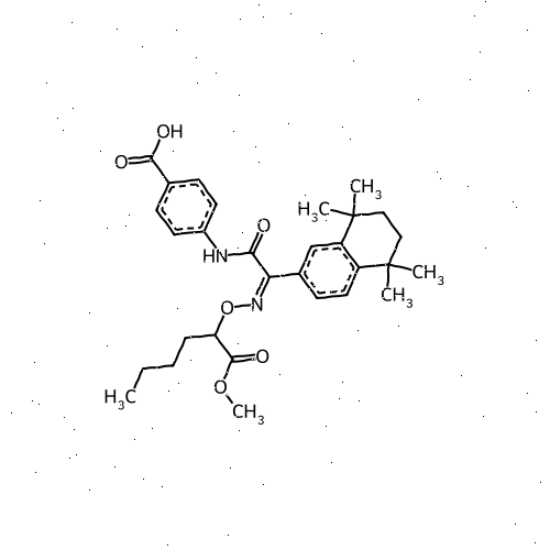 CCCCC(ON=C(C(=O)Nc1ccc(C(=O)O)cc1)c1ccc2c(c1)C(C)(C)CCC2(C)C)C(=O)OC